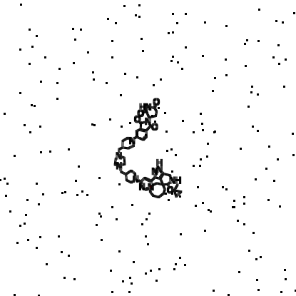 CC1(OC2NCc3[nH]nc(-c4cc(N5CCC(CN6CCN(CC7CCN(c8ccc9c(c8)C(=O)N(C8CCC(=O)NC8=O)C9=O)CC7)CC6)CC5)ncn4)c3C23CCCCCCC3)CC1